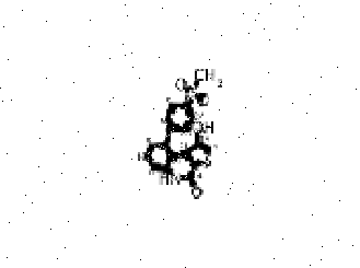 CS(=O)(=O)c1ccc(-c2cccc3[nH]c(=O)c4scc(O)c4c23)cc1